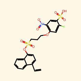 C=Cc1ccc(OS(=O)(=O)CCCOc2cc(F)c(S(=O)(=O)O)cc2[N+](=O)[O-])c2ccccc12